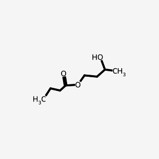 CCCC(=O)OCCC(C)O